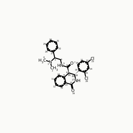 CN(C)C(CNC(=O)[C@@H]1c2ccccc2C(=O)N[C@H]1c1ccc(Cl)cc1Cl)c1ccccc1